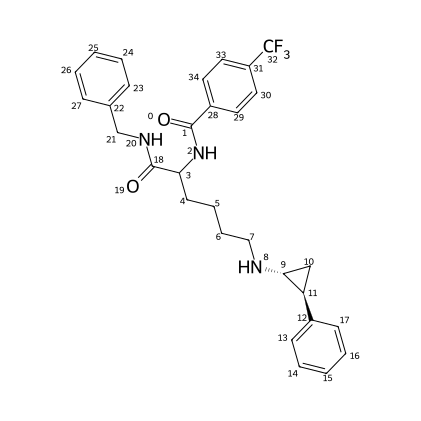 O=C(NC(CCCCN[C@@H]1C[C@H]1c1ccccc1)C(=O)NCc1ccccc1)c1ccc(C(F)(F)F)cc1